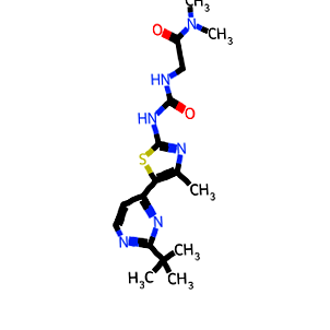 Cc1nc(NC(=O)NCC(=O)N(C)C)sc1-c1ccnc(C(C)(C)C)n1